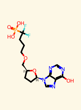 O=P(O)(O)C(F)(F)CCCOC[C@@H]1CC[C@H](n2cnc3c(O)ncnc32)O1